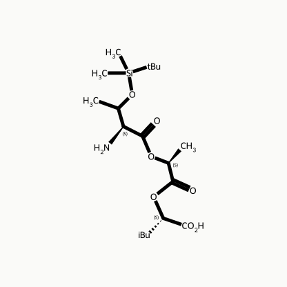 CCC(C)[C@H](OC(=O)[C@H](C)OC(=O)[C@@H](N)C(C)O[Si](C)(C)C(C)(C)C)C(=O)O